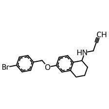 C#CCNC1CCCc2cc(OCc3ccc(Br)cc3)ccc21